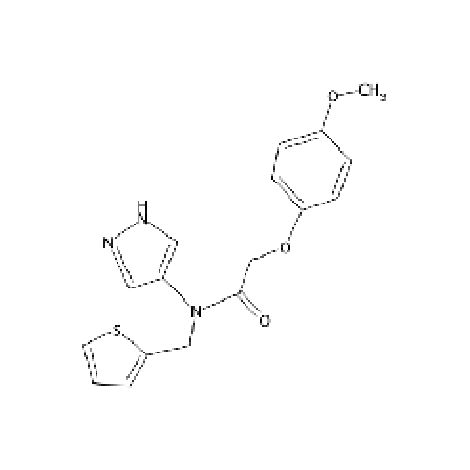 COc1ccc(OCC(=O)N(Cc2cccs2)c2cn[nH]c2)cc1